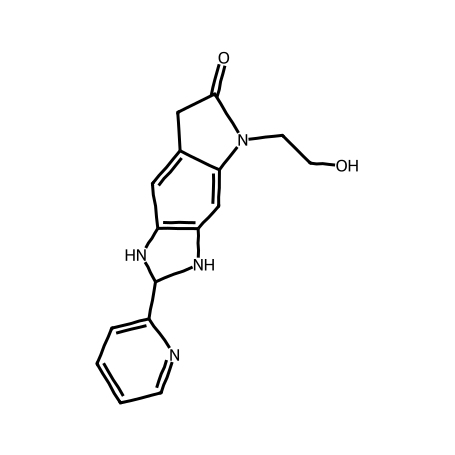 O=C1Cc2cc3c(cc2N1CCO)NC(c1ccccn1)N3